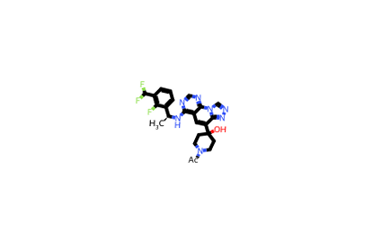 CC(=O)N1CCC(O)(c2cc3c(N[C@H](C)c4cccc(C(F)F)c4F)ncnc3n3cnnc23)CC1